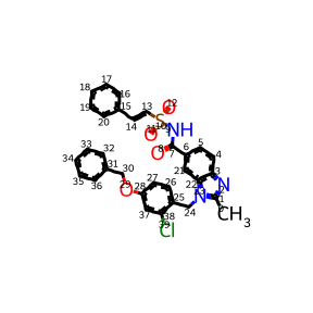 Cc1nc2ccc(C(=O)NS(=O)(=O)C=Cc3ccccc3)cc2n1Cc1ccc(OCc2ccccc2)cc1Cl